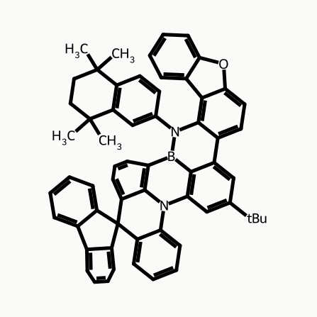 CC(C)(C)c1cc2c3c(c1)N1c4ccccc4C4(c5ccccc5-c5ccccc54)c4cccc(c41)B3N(c1ccc3c(c1)C(C)(C)CCC3(C)C)c1c-2ccc2oc3ccccc3c12